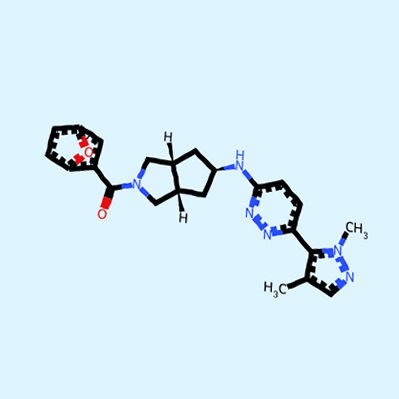 Cc1cnn(C)c1-c1ccc(N[C@H]2C[C@@H]3CN(C(=O)c4cc5ccc4o5)C[C@@H]3C2)nn1